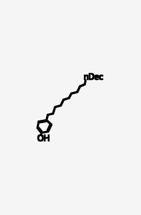 CCCCCCCCCCCCCCCCCCCCc1ccc(O)cc1